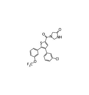 O=C1CN(C(=O)c2cc(-c3cccc(Cl)c3)c(-c3cccc(OC(F)(F)F)c3)s2)CN1